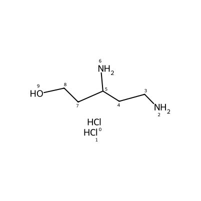 Cl.Cl.NCCC(N)CCO